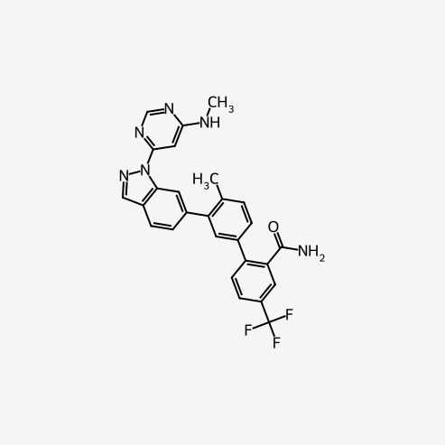 CNc1cc(-n2ncc3ccc(-c4cc(-c5ccc(C(F)(F)F)cc5C(N)=O)ccc4C)cc32)ncn1